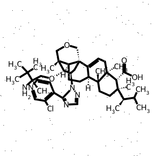 CC(C)[C@@H](C)[C@@]1(C)CC[C@]2(C)[C@H]3CC[C@@H]4[C@@]5(COC[C@@]4(C)[C@@H](OC[C@](C)(N)C(C)(C)C)[C@H](n4ncnc4-c4ccncc4Cl)C5)C3=CC[C@@]2(C)[C@@H]1C(=O)O